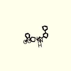 O=C1OC2(CCN(c3cc(-c4cccc(-c5ccccc5)c4)n[nH]3)CC2)c2ccccc21